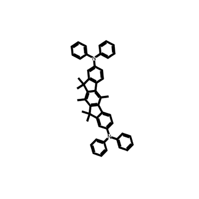 Cc1c2c(c(C)c3c1-c1ccc(N(c4ccccc4)c4ccccc4)cc1C3(C)C)C(C)(C)c1cc(N(c3ccccc3)c3ccccc3)ccc1-2